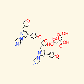 COc1ccc(-c2cc(CC3CCOCC3)nc(N3CCN(C)CC3)c2)cc1.COc1ccc(-c2cc(CC3CCOCC3)nc(N3CCN(C)CC3)c2)cc1.O=C(O)CC(O)(CC(=O)O)C(=O)O